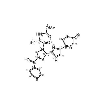 COC(=O)N[C@H](C(=O)N1CN(C(=O)c2ccccc2)C[C@H]1c1nc(-c2ccc(Br)cc2)c[nH]1)C(C)C